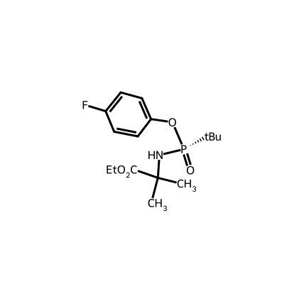 CCOC(=O)C(C)(C)N[P@](=O)(Oc1ccc(F)cc1)C(C)(C)C